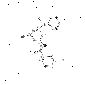 CN(c1cncnc1)c1cc(F)cc(NC(=O)c2cccc(F)c2)c1